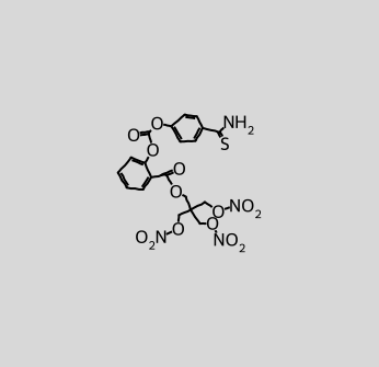 NC(=S)c1ccc(OC(=O)Oc2ccccc2C(=O)OCC(CO[N+](=O)[O-])(CO[N+](=O)[O-])CO[N+](=O)[O-])cc1